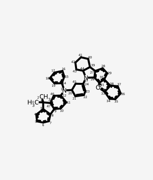 CC1(C)c2ccccc2-c2ccc(N(c3ccccc3)C3C=CC=C(N4c5c(ccc6c5oc5ccccc56)C5CCCCC54)C3)cc21